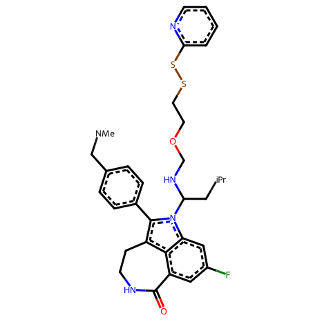 CNCc1ccc(-c2c3c4c(cc(F)cc4n2C(CC(C)C)NCOCCSSc2ccccn2)C(=O)NCC3)cc1